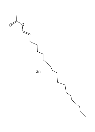 CCCCCCCCCCCCCCCCC=COC(C)=O.[Zn]